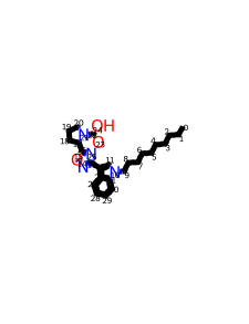 CCCCCCCCCCn1cc(-c2noc(C3CCCN3C(=O)O)n2)c2ccccc21